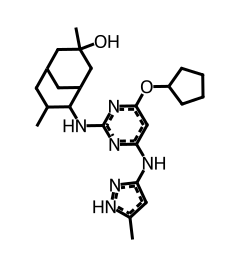 Cc1cc(Nc2cc(OC3CCCC3)nc(NC3C(C)CC4CC3CC(C)(O)C4)n2)n[nH]1